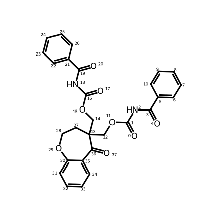 O=C(NC(=O)c1ccccc1)OCC1(COC(=O)NC(=O)c2ccccc2)CCOc2ccccc2C1=O